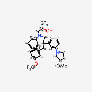 CO[C@H]1CCN(c2cccc(C3(Cc4cccc(OC(F)(F)F)c4)CN(C[C@@H](O)C(F)(F)F)c4ccccc43)c2)C1